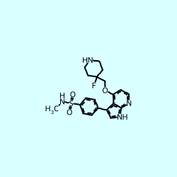 CNS(=O)(=O)c1ccc(-c2c[nH]c3nccc(OCC4(F)CCNCC4)c23)cc1